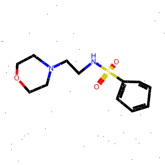 O=S(=O)(NCCN1CCOCC1)c1ccccc1